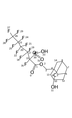 O=C(OCC12CC3CC(CC(O)(C3)C1)C2)C(F)(C(F)(F)C(F)(F)C(F)(F)C(F)(F)F)S(=O)(=O)O